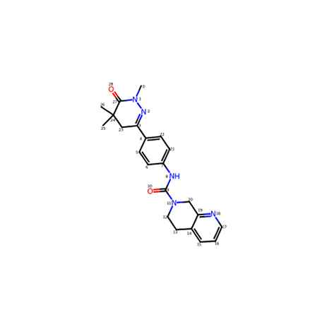 CN1N=C(c2ccc(NC(=O)N3CCc4cccnc4C3)cc2)CC(C)(C)C1=O